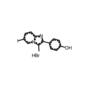 Br.Cc1c(-c2ccc(O)cc2)nc2ccc(I)cn12